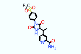 CC(c1ccnc(C(N)=O)c1)C1NC(=O)N(c2ccc(S(=O)(=O)C(F)(F)F)cc2)C1=O